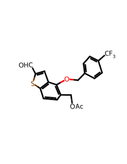 CC(=O)OCc1ccc2sc(C=O)cc2c1OCc1ccc(C(F)(F)F)cc1